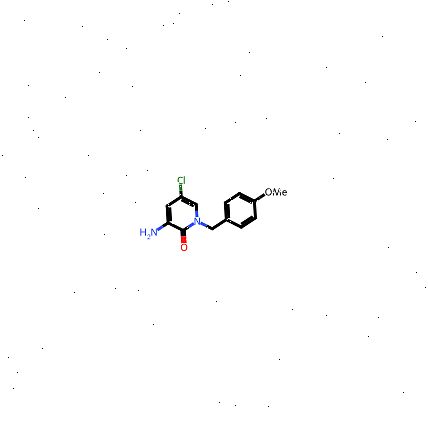 COc1ccc(Cn2cc(Cl)cc(N)c2=O)cc1